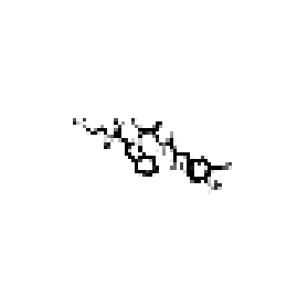 CC(NC(=O)C(O)Cc1ccc(O)c(O)c1)C(=O)N1C(C(=O)N(C)CCC#N)CC2CCCCC21